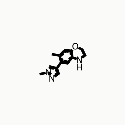 Cc1cc2c(cc1-c1cnn(C)c1)NCCO2